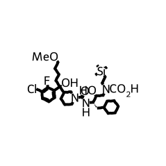 COCCCC[C@@](O)(c1cccc(Cl)c1F)C1CCCN(C(=O)N[C@@H](CC2CCCCC2)C(O)CN(CC[Si](C)(C)C)C(=O)O)C1